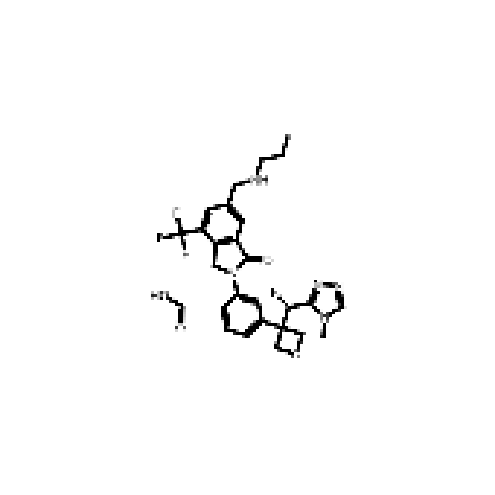 CCCNCc1cc2c(c(C(F)(F)F)c1)CN(c1cccc(C3([C@@H](F)c4nncn4C)COC3)c1)C2=O.O=CO